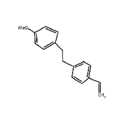 C=Cc1ccc(CCc2ccc(OC)cc2)cc1